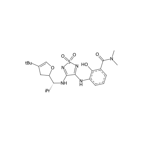 CC(C)[C@@H](NC1=NS(=O)(=O)N=C1Nc1cccc(C(=O)N(C)C)c1O)C1CC(C(C)(C)C)=CO1